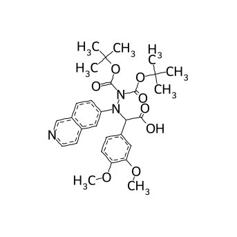 COc1ccc(C(C(=O)O)N(c2ccc3cnccc3c2)N(C(=O)OC(C)(C)C)C(=O)OC(C)(C)C)cc1OC